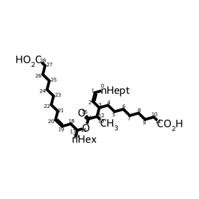 CCCCCCC/C=C\C(CCCCCCCC(=O)O)C(C)C(=O)OC(C/C=C\CCCCCCCC(=O)O)CCCCCC